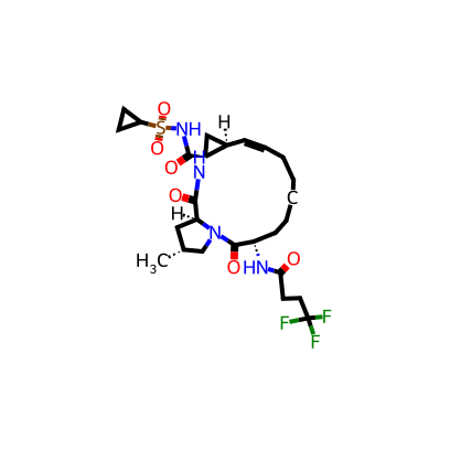 C[C@@H]1C[C@H]2C(=O)N[C@]3(C(=O)NS(=O)(=O)C4CC4)C[C@H]3/C=C\CCCCC[C@H](NC(=O)CCC(F)(F)F)C(=O)N2C1